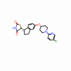 O=C1NC(=O)C([C@@H]2CCc3cc(OC4CCN(c5ccc(F)cn5)CC4)ccc32)S1